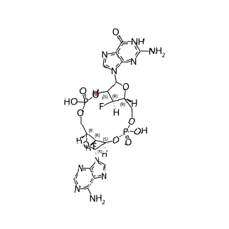 Nc1nc2c(ncn2C2O[C@@H]3COP(=O)(O)O[C@@H]4[C@H](F)[C@@H](COP(=O)(O)O[C@@H]2[C@@H]3F)O[C@H]4n2cnc3c(N)ncnc32)c(=O)[nH]1